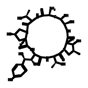 C[C@@H](O)C1NC(=O)C([C@H](O)[C@@H](O)c2ccc(O)cc2)NC(=O)[C@@H]2C[C@@H](O)CN2C(=O)C([C@@H](C)O)NC(=O)[C@@H](N)C[C@@H](O)[C@@H](O)NC(=O)[C@@H]2C(O)[C@@H](C)CN2C1=O